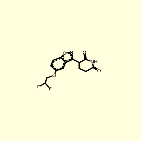 O=C1CCC(c2noc3ccc(OCC(F)F)cc23)C(=O)N1